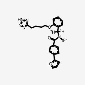 [2H]C([2H])(c1ccccc1OCCCCc1nn[nH]n1)N(C(=O)c1ccc(-c2ccco2)cc1)C(C)C